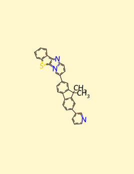 CC1(C)c2cc(-c3cccnc3)ccc2-c2ccc(-c3ccc4nc5c6ccccc6sc5n4c3)cc21